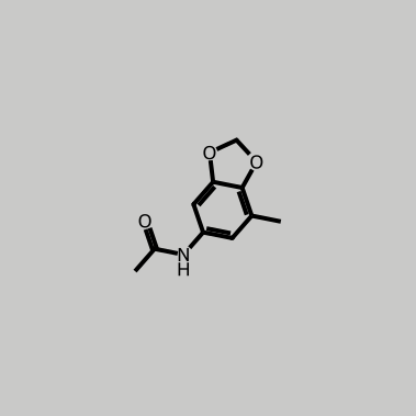 CC(=O)Nc1cc(C)c2c(c1)OCO2